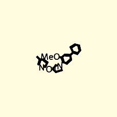 COc1cc(-c2ccccc2)ccc1N1CC[C@H](Oc2ccc(C)cn2)C1